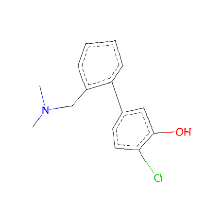 CN(C)Cc1ccccc1-c1ccc(Cl)c(O)c1